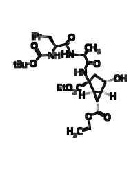 C=COC(=O)[C@H]1[C@H]2[C@@H]1[C@@](NC(=O)[C@H](C)NC(=O)[C@H](CC(C)C)NC(=O)OC(C)(C)C)(C(=O)OCC)C[C@@H]2O